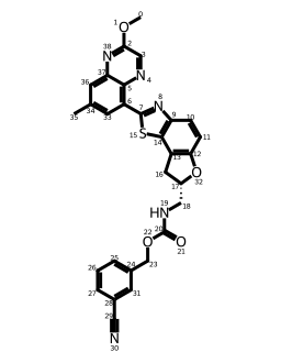 COc1cnc2c(-c3nc4ccc5c(c4s3)C[C@@H](CNC(=O)OCc3cccc(C#N)c3)O5)cc(C)cc2n1